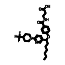 CCCCCCC(Oc1ccc(C(=O)NCCC(=O)O)cc1)c1ccc(N2CCC(C(F)(F)F)CC2)nc1